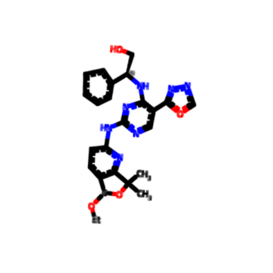 CCOB1OC(C)(C)c2nc(Nc3ncc(-c4nnco4)c(N[C@H](CO)c4ccccc4)n3)ccc21